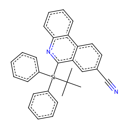 CC(C)(C)[Si](c1ccccc1)(c1ccccc1)c1nc2ccccc2c2ccc(C#N)cc12